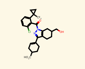 O=C(O)C1CC=C(c2nn(C(=O)c3c(Cl)cccc3C3(C(F)(F)F)CC3)c3c2CCC(CO)C3)CC1